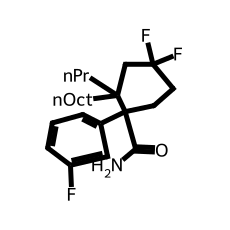 CCCCCCCCC1(CCC)CC(F)(F)CCC1(C(N)=O)c1cccc(F)c1